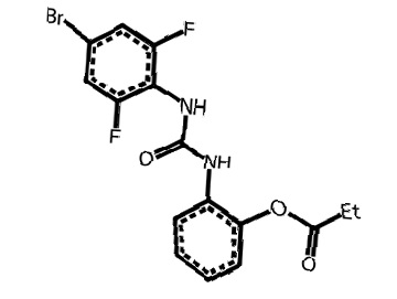 CCC(=O)Oc1ccccc1NC(=O)Nc1c(F)cc(Br)cc1F